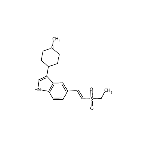 CCS(=O)(=O)C=Cc1ccc2[nH]cc(C3CCN(C)CC3)c2c1